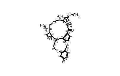 COCCC1[C@@H](C)CCC[C@@H](CO)[C@@H]2CC[C@H]2CN2CCCCc3cc(Cl)ccc3COc3ccc(cc32)C(=O)NS1(=O)=O